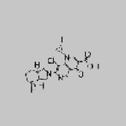 O=C(O)c1cn([C@@H]2C[C@@H]2F)c2c(Cl)c(N3C[C@@H]4CCCN[C@@H]4C3)ncc2c1=O